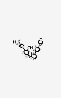 Cc1cc(Nc2nccc(-c3ccc(N4CC5CC4CO5)nc3)n2)cnc1N1CC2CC1CN2C